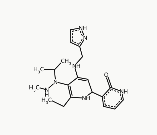 CCC1=C(N(NC)C(C)C)C(NCc2cc[nH]n2)=CC(c2ccc[nH]c2=O)N1